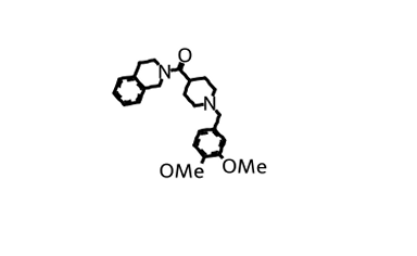 COc1ccc(CN2CCC(C(=O)N3CCc4ccccc4C3)CC2)cc1OC